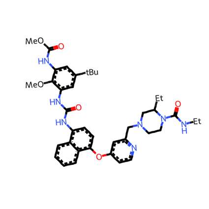 CCNC(=O)N1CCN(Cc2cc(Oc3ccc(NC(=O)Nc4cc(C(C)(C)C)cc(NC(=O)OC)c4OC)c4ccccc34)ccn2)CC1CC